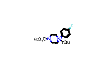 CCCC[N+]1(c2ccc(F)cc2)CCN(C(=O)OCC)CC1